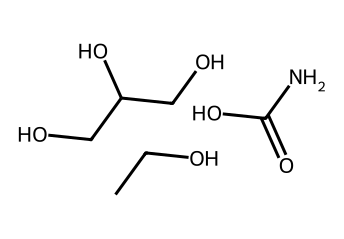 CCO.NC(=O)O.OCC(O)CO